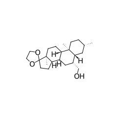 C[C@H]1CC[C@@]2(C)[C@H](C1)[C@H](CO)C[C@@H]1[C@@H]2CC[C@@]2(C)[C@H]1CCC21OCCO1